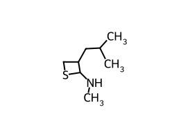 CNC1SCC1CC(C)C